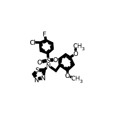 COc1ccc(CN(c2nncs2)S(=O)(=O)c2ccc(F)c(Cl)c2)c(OC)c1